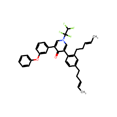 C/C=C/CCc1ccc(-c2cn(C(F)(F)C(F)F)cc(-c3cccc(Oc4ccccc4)c3)c2=O)c(CC/C=C/C)c1